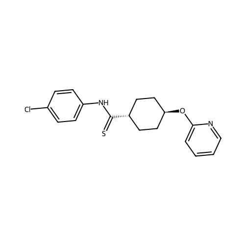 S=C(Nc1ccc(Cl)cc1)[C@H]1CC[C@H](Oc2ccccn2)CC1